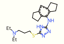 CCN(CC)CCCSc1nnc(Nc2c3c(cc4c2CCC4)CCC3)[nH]1